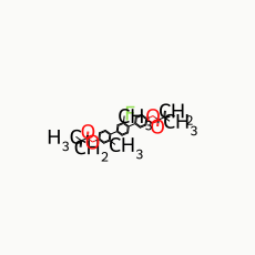 C=C(C)C(=O)Oc1ccc(-c2ccc(-c3ccc(OC(=O)C(=C)C)cc3F)c(C)c2)c(C)c1